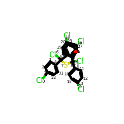 Clc1ccc(C(Cl)(SC(Cl)(c2ccc(Cl)cc2)c2ccc(Cl)cc2)c2ccc(Cl)cc2)cc1